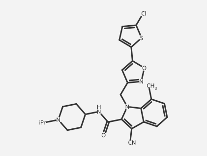 Cc1cccc2c(C#N)c(C(=O)NC3CCN(C(C)C)CC3)n(Cc3cc(-c4ccc(Cl)s4)on3)c12